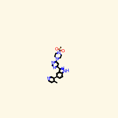 Cc1ccncc1-c1ccc2[nH]nc(-c3cc(N4CCN(S(C)(=O)=O)CC4)ncn3)c2c1